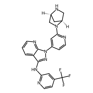 FC(F)(F)c1ccnc(Nc2nn(-c3ccnc(N4C[C@@H]5C[C@H]4CN5)c3)c3ncccc23)c1